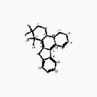 CC1(C)CCC2C(=C3Cc4ccccc4C3=C3C=CCCC32)C1(C)C